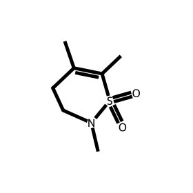 CC1=C(C)S(=O)(=O)N(C)CC1